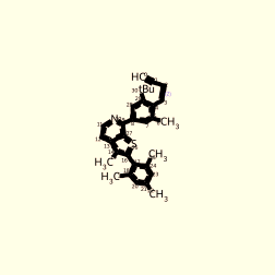 C#C/C=C\c1c(C)cc(-c2nccc3c(C)c(-c4c(C)cc(C)cc4C)sc23)cc1C(C)(C)C